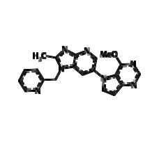 COc1ncnc2ccn(-c3cnc4nc(C)n(Cc5ccccn5)c4c3)c12